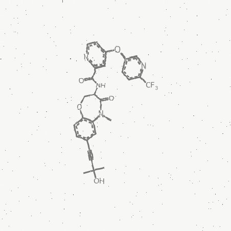 CN1C(=O)C(NC(=O)c2cc(Oc3ccc(C(F)(F)F)nc3)ccn2)COc2ccc(C#CC(C)(C)O)cc21